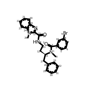 CN(C(=O)c1cccc(Br)c1)[C@H](CCNC(=O)c1nc2ccccc2n1C)Cc1ccccc1